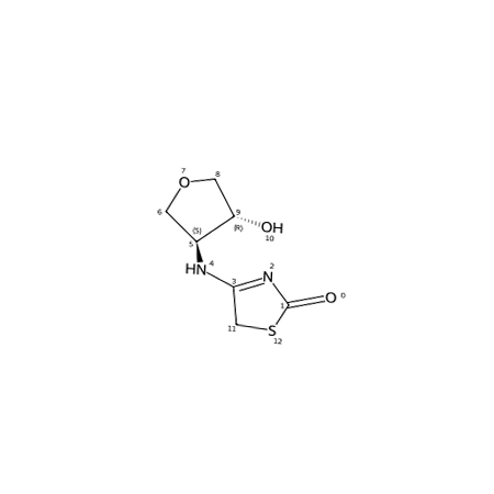 O=C1N=C(N[C@H]2COC[C@@H]2O)CS1